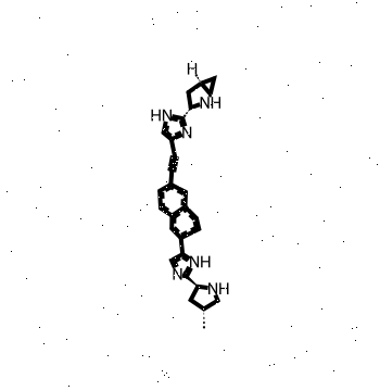 C[C@H]1CN[C@H](c2ncc(-c3ccc4cc(C#Cc5c[nH]c([C@@H]6C[C@H]7CC7N6)n5)ccc4c3)[nH]2)C1